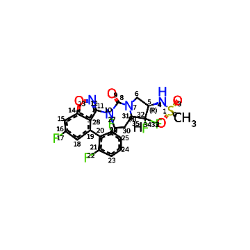 CS(=O)(=O)N[C@@H]1CN2C(=O)N(c3noc4cc(F)cc(-c5c(F)cccc5F)c34)CC[C@@H]2C1(F)F